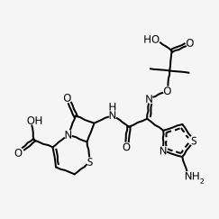 CC(C)(ON=C(C(=O)NC1C(=O)N2C(C(=O)O)=CCSC12)c1csc(N)n1)C(=O)O